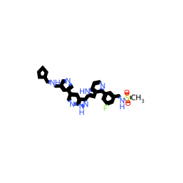 CS(=O)(=O)NCc1cc(F)cc(-c2nccc3[nH]c(-c4n[nH]c5ncc(-c6cncc(CNCC7CCCC7)c6)cc45)cc23)c1